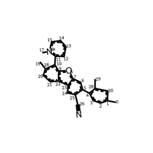 Cc1ccc(-c2cc3oc4c(-c5cccc[n+]5C)c(C)ccc4c3cc2C#N)c(C)c1